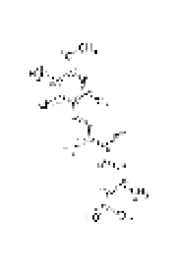 COc1cc(Cl)c(/C=C/C(C)=C(\F)C=CC(C)=CC(=O)O)c(Cl)c1C